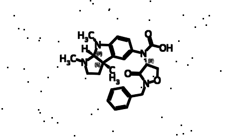 CN1CC[C@@]2(C)c3cc(N(C(=O)O)[C@@H]4CON(Cc5ccccc5)C4=O)ccc3N(C)[C@@H]12